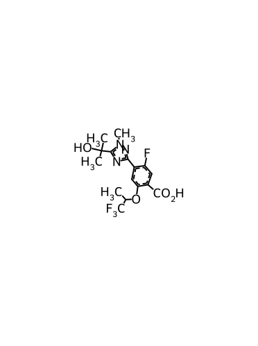 CC(Oc1cc(-c2nc(C(C)(C)O)n(C)n2)c(F)cc1C(=O)O)C(F)(F)F